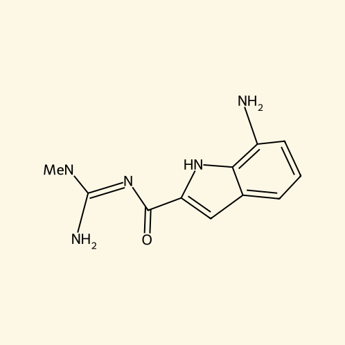 CNC(N)=NC(=O)c1cc2cccc(N)c2[nH]1